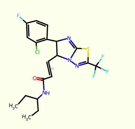 CCC(CC)NC(=O)/C=C/C1C(c2ccc(F)cc2Cl)N=C2SC(C(F)(F)F)=NN21